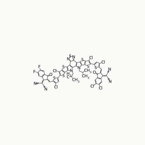 CC(C)Cn1c2c3sc(-c4cc(Cl)c(/C=C5\C(=O)c6cc(F)c(F)cc6C5=C(C#N)C#N)s4)c(Cl)c3sc2c2c3nsnc3c3c4sc5c(Cl)c(-c6cc(Cl)c(/C=C7\C(=O)c8cc(Cl)c(Cl)cc8C7=C(C#N)C#N)s6)sc5c4n(CC(C)C)c3c21